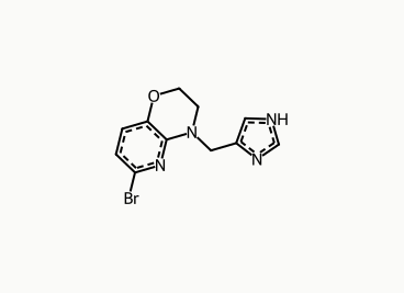 Brc1ccc2c(n1)N(Cc1c[nH]cn1)CCO2